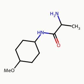 COC1CCC(NC(=O)C(C)N)CC1